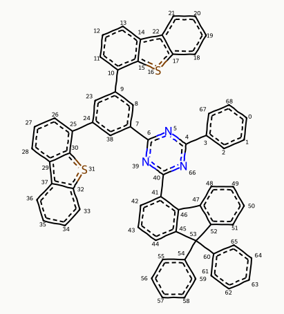 c1ccc(-c2nc(-c3cc(-c4cccc5c4sc4ccccc45)cc(-c4cccc5c4sc4ccccc45)c3)nc(-c3cccc4c3-c3ccccc3C4(c3ccccc3)c3ccccc3)n2)cc1